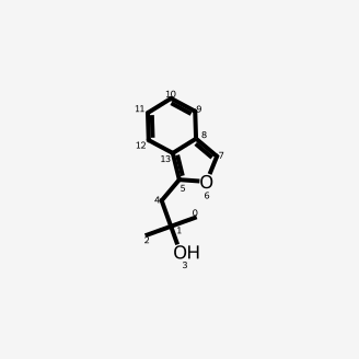 CC(C)(O)Cc1occ2ccccc12